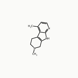 Cc1ccnc2[nH]c3c(c12)CCN(C)C3